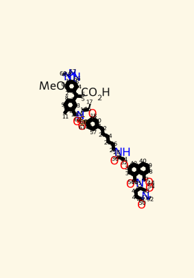 COc1cc(C(CC(=O)O)c2ccc(C)c(CN3C[C@@H](C)Oc4cc(CCCCCCNC(=O)COc5cc6c7c(cccc7c5)C(=O)N(C5CCC(=O)N(C)C5=O)C6=O)ccc4S3(=O)=O)c2)cc2nnn(C)c12